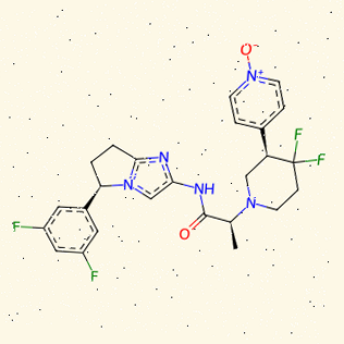 C[C@@H](C(=O)Nc1cn2c(n1)CC[C@@H]2c1cc(F)cc(F)c1)N1CCC(F)(F)[C@H](c2cc[n+]([O-])cc2)C1